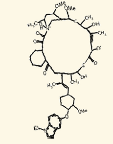 CCC1/C=C(\C)C(O)C(C)CC(OC)C2C[N+](O)(C(=O)C(=O)C3CCCCC3C(=O)CC(C(C)=CC3CCC(Oc4ccc5c(ccn5CC)c4)C(OC)C3)C(C)C(O)CC1=O)C(C)CC2OC